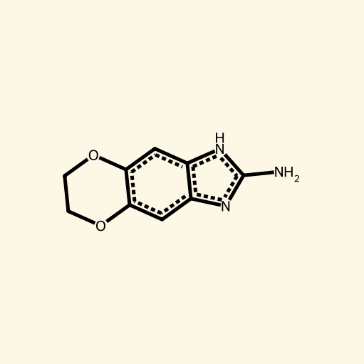 Nc1nc2cc3c(cc2[nH]1)OCCO3